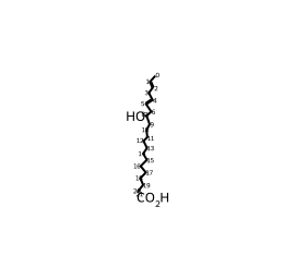 CC=CCC=CCC(O)CCCCCCCCCCCCC(=O)O